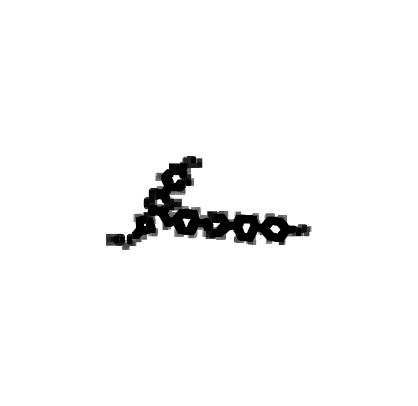 CCCC1CCC(C2CC=C(c3cnc(-c4ccc(CC(NC(=O)c5cnc(C(C)(C)C)nc5)C(=O)N5CC(C(=O)O)C5)cc4)nc3)CC2)CC1